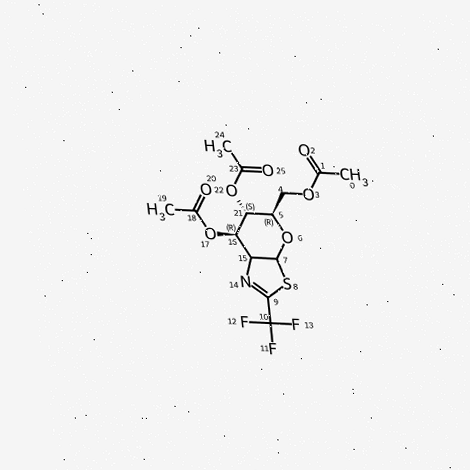 CC(=O)OC[C@H]1OC2SC(C(F)(F)F)=NC2[C@@H](OC(C)=O)[C@@H]1OC(C)=O